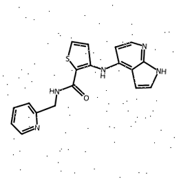 O=C(NCc1ccccn1)c1sccc1Nc1ccnc2[nH]ccc12